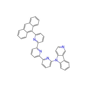 c1cc(-c2cccc(-c3c4ccccc4cc4ccccc34)n2)nc(-c2cccc(-n3c4ccccc4c4cnccc43)n2)c1